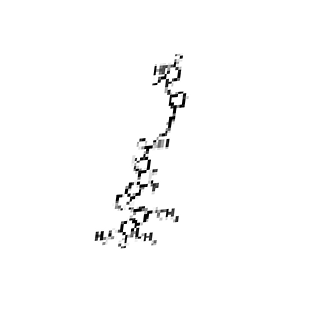 CCc1cc2c(c(N3CCCc4cc(-c5ccc(C(=O)NCCC#Cc6cccc(CN7CCC(=O)NC7=O)c6)nc5)c(C(F)F)cc43)c1)CC(C)C(=O)N2C